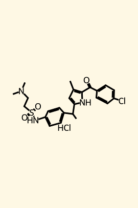 Cc1cc(C(C)c2ccc(NS(=O)(=O)CCN(C)C)cc2)[nH]c1C(=O)c1ccc(Cl)cc1.Cl